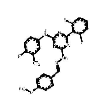 Fc1ccc(Nc2nc(N/N=C/c3ccc(OC(F)(F)F)cc3)nc(-c3c(F)cccc3F)n2)cc1C(F)(F)F